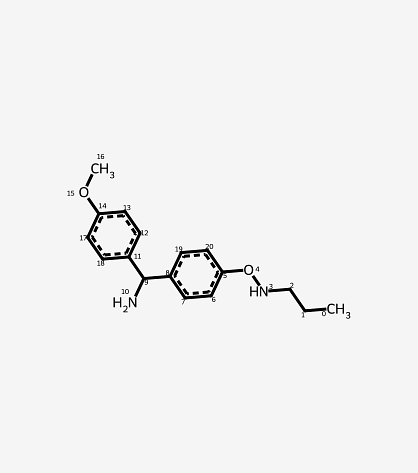 CCCNOc1ccc(C(N)c2ccc(OC)cc2)cc1